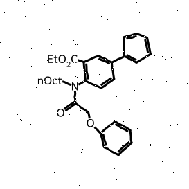 CCCCCCCCN(C(=O)COc1ccccc1)c1ccc(-c2ccccc2)cc1C(=O)OCC